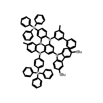 Cc1cc(-c2ccccc2)cc(N2c3ccc([Si](c4ccccc4)(c4ccccc4)c4ccccc4)cc3B3c4cc(C)ccc4N(c4ccc([Si](c5ccccc5)(c5ccccc5)c5ccccc5)cc4)c4cc(-n5c6ccc(C(C)(C)C)cc6c6cc(C(C)(C)C)ccc65)cc2c43)c1